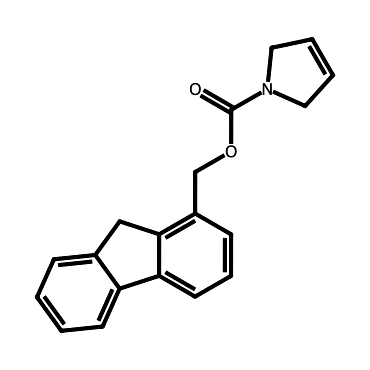 O=C(OCc1cccc2c1Cc1ccccc1-2)N1CC=CC1